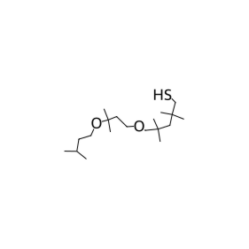 CC(C)CCOC(C)(C)CCOCC(C)(C)CC(C)(C)CS